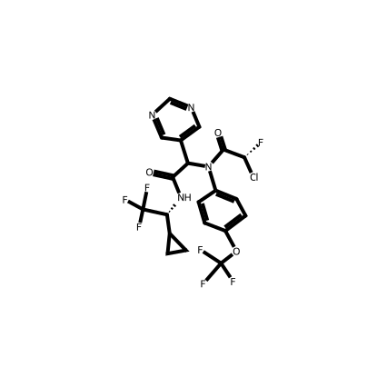 O=C(N[C@H](C1CC1)C(F)(F)F)C(c1cncnc1)N(C(=O)[C@H](F)Cl)c1ccc(OC(F)(F)F)cc1